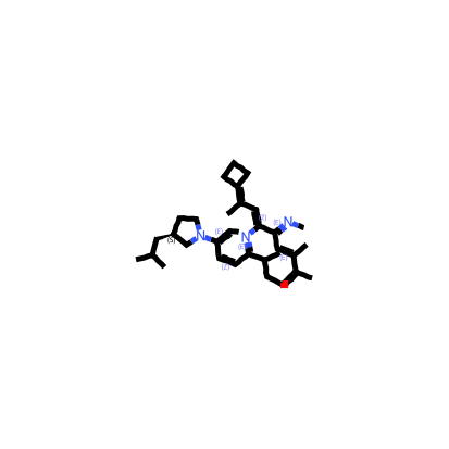 C=C(C)/C(C)=C/C(=N\C)C(=C/C(C)=C1CCC1)/N=C(/C=C\C(=C/C)N1CC[C@H](CC(C)C)C1)C(C)CC